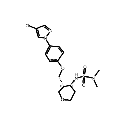 CN(C)S(=O)(=O)N[C@H]1CCOC[C@@H]1COc1ccc(-n2cc(Cl)cn2)cc1